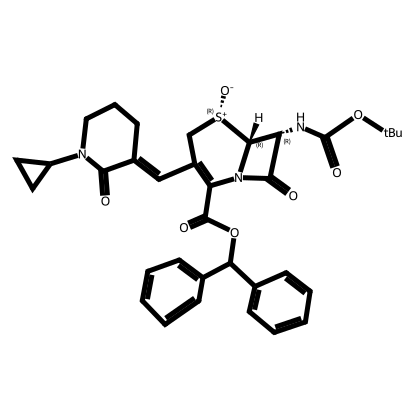 CC(C)(C)OC(=O)N[C@@H]1C(=O)N2C(C(=O)OC(c3ccccc3)c3ccccc3)=C(C=C3CCCN(C4CC4)C3=O)C[S@+]([O-])[C@H]12